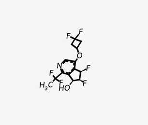 CC(F)(F)c1ncc(OC2CC(F)(F)C2)c2c1[C@H](O)[C@H](F)[C@@H]2F